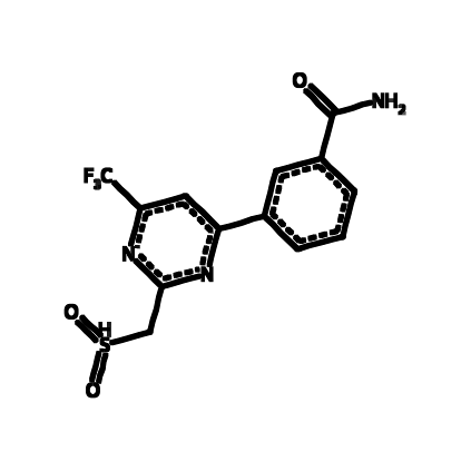 NC(=O)c1cccc(-c2cc(C(F)(F)F)nc(C[SH](=O)=O)n2)c1